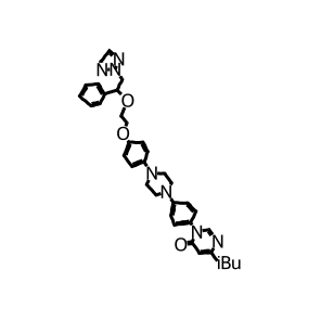 CCC(C)c1cc(=O)n(-c2ccc(N3CCN(c4ccc(OCCOC(Cn5nccn5)c5ccccc5)cc4)CC3)cc2)cn1